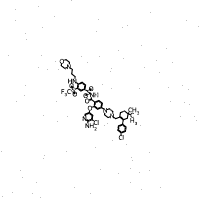 CC1(C)CCC(CN2CCN(c3ccc(C(=O)NS(=O)(=O)c4ccc(NCCCN5CCOCC5)c(S(=O)(=O)C(F)(F)F)c4)c(Oc4cnc(N)c(Cl)c4)c3)CC2)=C(c2ccc(Cl)cc2)C1